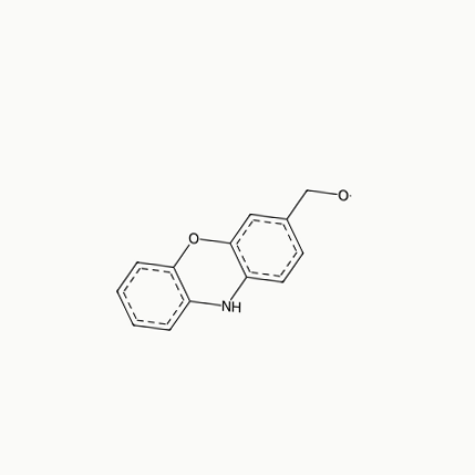 [O]Cc1ccc2c(c1)Oc1ccccc1N2